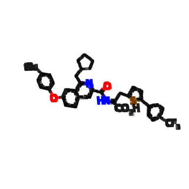 CC(C)(C)c1ccc(Oc2ccc3cc(C(=O)N[C@@H](Cc4ccc(-c5ccc(C(F)(F)F)cc5)s4)C(=O)O)nc(CC4CCCC4)c3c2)cc1